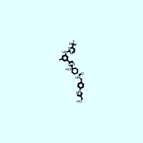 Cc1cc(Nc2nccc(C(F)(F)F)n2)cc(-c2cnc([C@]3(O)CC[C@H](C(=O)NCc4ccc(-n5cc(CO)cn5)cc4)CC3)s2)c1